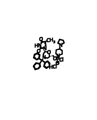 Cc1cn([C@H]2CN(C(c3ccccc3)(c3ccccc3)c3ccccc3)C[C@@H](COP(=O)(Cl)N3CCC(N4CCCC4)CC3)O2)c(=O)[nH]c1=O.Cl